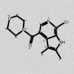 Cc1[nH]c2c(Cl)ncc(C(=O)N3CCOCC3)c2c1C